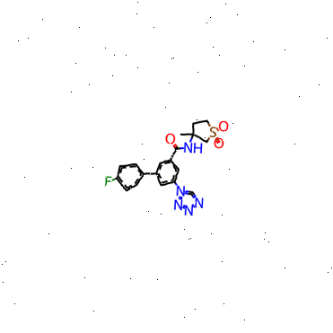 CC1(NC(=O)c2cc(-c3ccc(F)cc3)cc(-n3cnnn3)c2)CCS(=O)(=O)C1